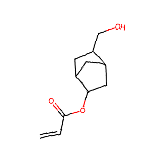 C=CC(=O)OC1CC2CC1CC2CO